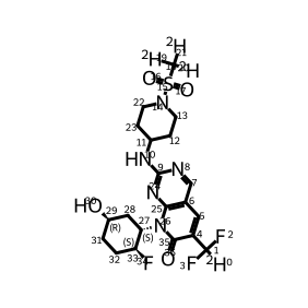 [2H]C(F)(F)c1cc2cnc(NC3CCN(S(=O)(=O)C([2H])([2H])[2H])CC3)nc2n([C@H]2C[C@H](O)CC[C@@H]2F)c1=O